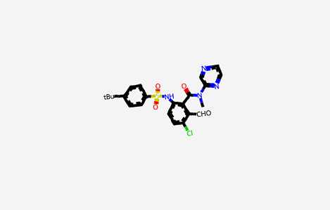 CN(C(=O)c1c(NS(=O)(=O)c2ccc(C(C)(C)C)cc2)ccc(Cl)c1C=O)c1cnccn1